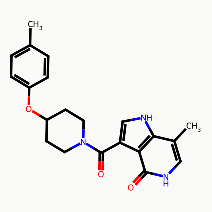 Cc1ccc(OC2CCN(C(=O)c3c[nH]c4c(C)c[nH]c(=O)c34)CC2)cc1